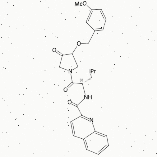 COc1cccc(COC2CN(C(=O)[C@H](CC(C)C)NC(=O)c3ccc4ccccc4n3)CC2=O)c1